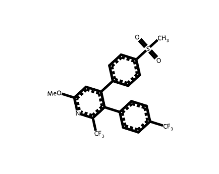 COc1cc(-c2ccc(S(C)(=O)=O)cc2)c(-c2ccc(C(F)(F)F)cc2)c(C(F)(F)F)n1